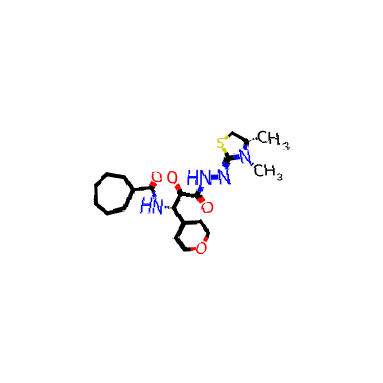 C[C@H]1CS/C(=N\NC(=O)C(=O)[C@@H](NC(=O)C2CCCCCC2)C2CCOCC2)N1C